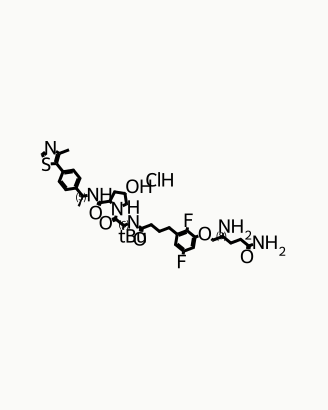 Cc1ncsc1-c1ccc([C@H](C)NC(=O)C2CC(O)CN2C(=O)[C@@H](NC(=O)CCCc2cc(F)cc(OC[C@@H](N)CCC(N)=O)c2F)C(C)(C)C)cc1.Cl